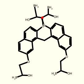 BC(O)COc1ccc2ccc(OCC(B)O)c(Cc3c(OCC(B)O)ccc4ccc(OCC(B)O)cc34)c2c1